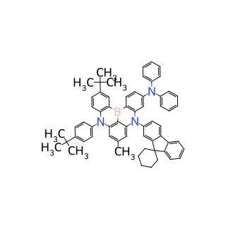 Cc1cc2c3c(c1)N(c1ccc4c(c1)C1(CCCCC1)c1ccccc1-4)c1cc(N(c4ccccc4)c4ccccc4)ccc1B3c1cc(C(C)(C)C)ccc1N2c1ccc(C(C)(C)C)cc1